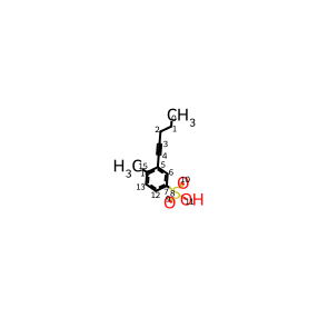 CCCC#Cc1cc(S(=O)(=O)O)ccc1C